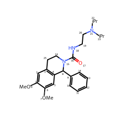 COc1cc2c(cc1OC)C(c1ccccc1)N(C(=O)NCCN(C(C)C)C(C)C)CC2